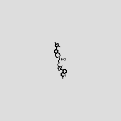 Cc1ccc2c(-c3nnc(SCCCN4CCc5ccc(-c6cc(C)nn6C)cc5CC4)n3C)cccc2n1.Cl